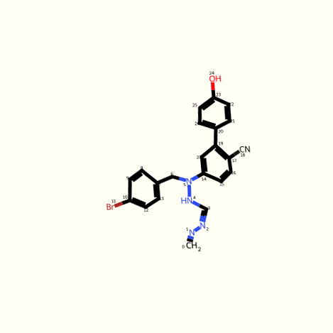 C=N/N=C\NN(Cc1ccc(Br)cc1)c1ccc(C#N)c(-c2ccc(O)cc2)c1